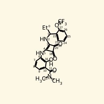 CCC(Nc1c(Nc2cccc(C(=O)N(C)C)c2O)c(=O)c1=O)c1ccccc1OC(F)(F)F